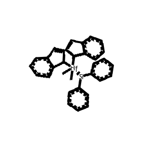 [CH3][Hf]([CH3])([CH]1C=Cc2ccccc21)([CH]1C=Cc2ccccc21)=[Si](c1ccccc1)c1ccccc1